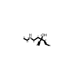 C#CC(O)(/C=C/C)CCNCC